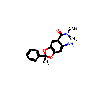 CON(C)C(=O)c1cc2c(cc1N)OC(C)(c1ccccc1)O2